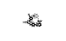 CC(C)Oc1ccc(C(=O)N[C@H](CCO)Cc2ccc(-c3cn4cccc([N+](=O)[O-])c4n3)cc2)cc1C#N